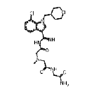 CN(CC(=O)NCC(N)=O)CC(=O)NC(=N)c1cn(CC2CCOCC2)c2c(Cl)cccc12